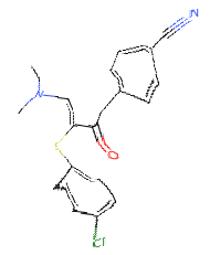 CN(C)C=C(Sc1ccc(Cl)cc1)C(=O)c1ccc(C#N)cc1